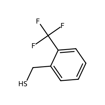 FC(F)(F)c1ccccc1CS